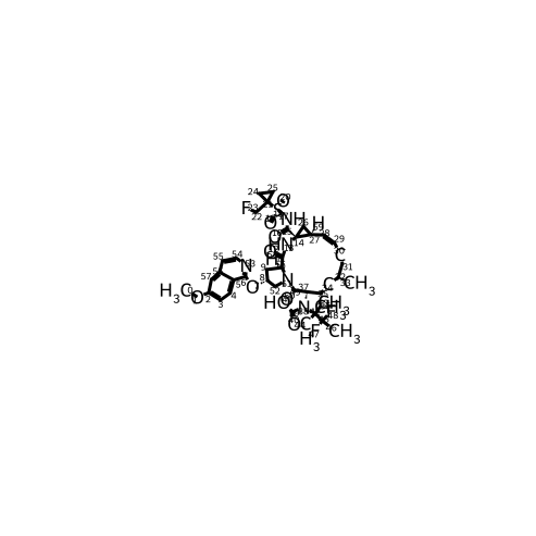 COc1ccc2c(O[C@@H]3C[C@H]4C(=O)N[C@]5(C(=O)NS(=O)(=O)C6(CF)CC6)C[C@H]5C=CCC[C@@H](C)C[C@@H](C)[C@H](N(C(=O)O)C(C)(C)C(C)(F)F)C(=O)N4C3)nccc2c1